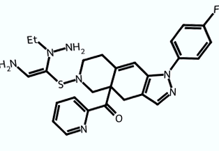 CCN(N)/C(=C\N)SN1CCC2=Cc3c(cnn3-c3ccc(F)cc3)CC2(C(=O)c2ccccn2)C1